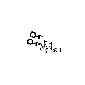 C=CC(=O)NC(=S)NOO.CC(C)c1ccccc1.CC(C)c1ccccc1